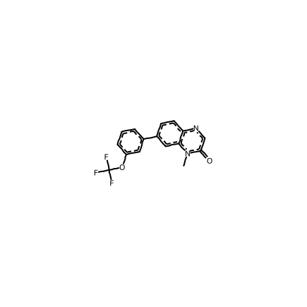 Cn1c(=O)cnc2ccc(-c3cccc(OC(F)(F)F)c3)cc21